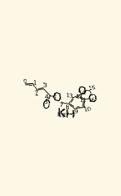 C=CC=CC(=O)OCc1ccc2c(c1)OCO2.[KH]